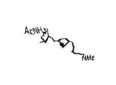 [CH]NCCCc1ccc(CCc2csc(NC(C)=O)n2)cc1